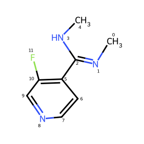 C/N=C(\NC)c1ccncc1F